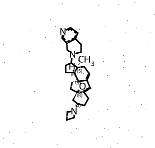 C[C@]12CC=C3C=C4CC[C@H](N5CCC5)C[C@]45CC[C@]3(O5)[C@@H]1CCC2N1CCc2ccncc2C1